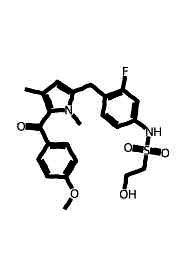 COc1ccc(C(=O)c2c(C)cc(Cc3ccc(NS(=O)(=O)CCO)cc3F)n2C)cc1